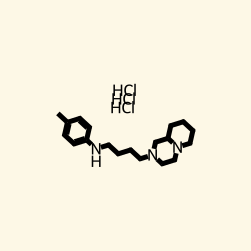 Cc1ccc(NCCCCN2CCN3CCCCC3C2)cc1.Cl.Cl.Cl